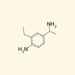 CCc1cc(C(C)N)ccc1N